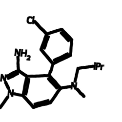 CC(C)CN(C)c1ccc2c(c(N)nn2C)c1-c1cccc(Cl)c1